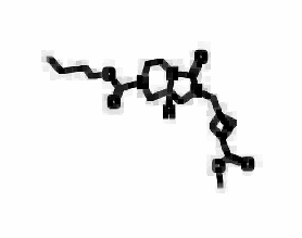 CCCCOC(=O)N1CCN2C(=O)N(CC34CC(C(=O)OC)(C3)C4)C[C@@H]2C1